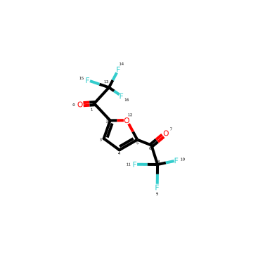 O=C(c1ccc(C(=O)C(F)(F)F)o1)C(F)(F)F